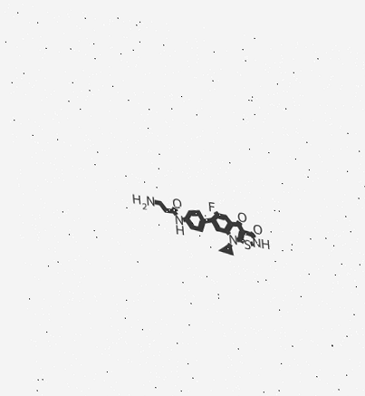 NCCC(=O)Nc1ccc(-c2cc3c(cc2F)c(=O)c2c(=O)[nH]sc2n3C2CC2)cc1